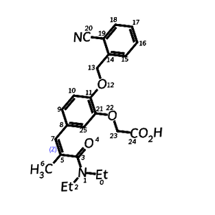 CCN(CC)C(=O)/C(C)=C\c1ccc(OCc2ccccc2C#N)c(OCC(=O)O)c1